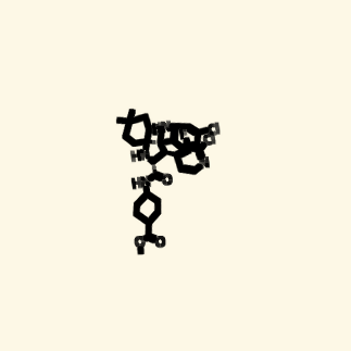 COC(=O)C1CCC(NC(=O)[C@@H]2NC3(CCC(C)(C)CC3)[C@@]3(C(=O)Nc4cc(Cl)ccc43)[C@H]2c2ccnc(Cl)c2F)CC1